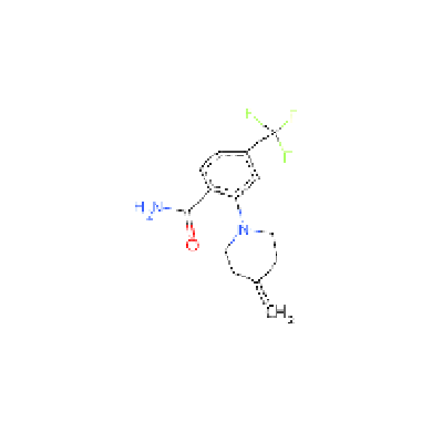 C=C1CCN(c2cc(C(F)(F)F)ccc2C(N)=O)CC1